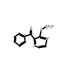 O=C(O)Oc1nccnc1C(=O)c1ccccc1